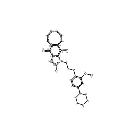 CCOc1cc(N2CCOCC2)ccc1CCCn1c2c(=O)c3ccccccc=3c(=O)c2n[n+]1[O-]